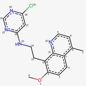 COc1ccc2c(C)ccnc2c1CCNc1cc(Cl)ncn1